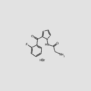 Br.NCC(=O)Nn1cccc1C(=O)c1ccccc1F